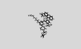 CC(C)(C)OC(=O)N1CCN(c2nc(Nc3cc(S(C)(=O)=O)ccc3N[C@@H](c3cccc4c3OC(F)(F)O4)c3ncccc3Cl)nc(OCCCCCO)n2)CC1